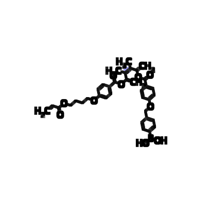 C=CC(=O)OCCCCOc1ccc(C(=O)OC(=C)/C(C)=C(/C)C(=C)OC(=O)c2ccc(OCc3ccc(B(O)O)cc3)cc2)cc1